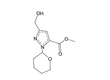 COC(=O)c1cc(CO)nn1C1CCCCO1